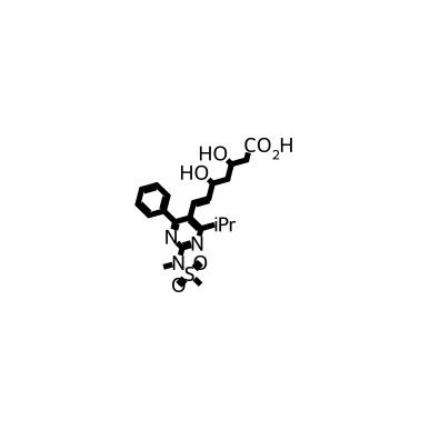 CC(C)c1nc(N(C)S(C)(=O)=O)nc(-c2ccccc2)c1/C=C/C(O)CC(O)CC(=O)O